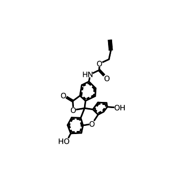 C#CCOC(=O)Nc1ccc2c(c1)C(=O)OC21c2ccc(O)cc2Oc2cc(O)ccc21